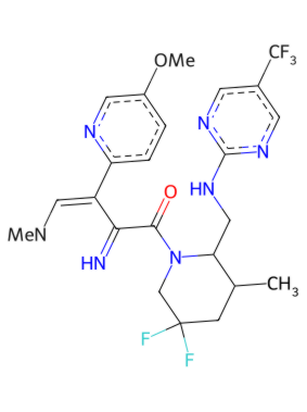 CN/C=C(\C(=N)C(=O)N1CC(F)(F)CC(C)C1CNc1ncc(C(F)(F)F)cn1)c1ccc(OC)cn1